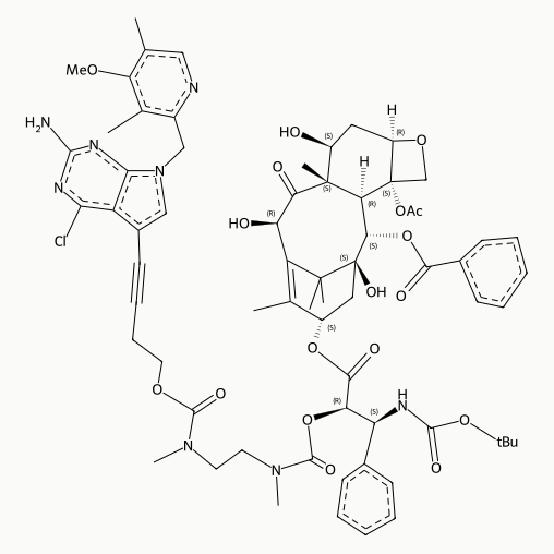 COc1c(C)cnc(Cn2cc(C#CCCOC(=O)N(C)CCN(C)C(=O)O[C@@H](C(=O)O[C@H]3C[C@@]4(O)[C@@H](OC(=O)c5ccccc5)[C@@H]5[C@]6(OC(C)=O)CO[C@@H]6C[C@H](O)[C@@]5(C)C(=O)[C@H](O)C(=C3C)C4(C)C)[C@@H](NC(=O)OC(C)(C)C)c3ccccc3)c3c(Cl)nc(N)nc32)c1C